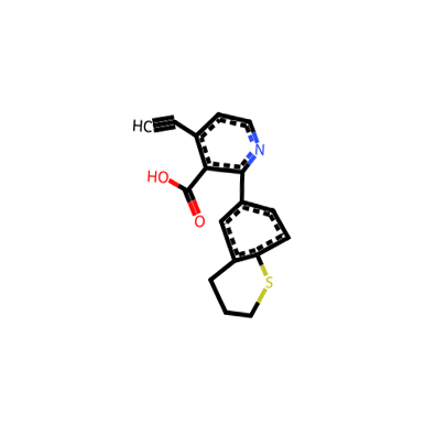 C#Cc1ccnc(-c2ccc3c(c2)CCCS3)c1C(=O)O